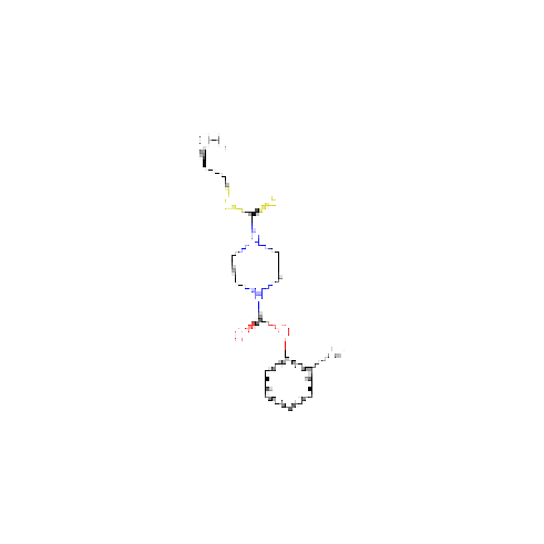 C=CCSC(=S)N1CCN(C(=O)Oc2ccccc2C(C)=O)CC1